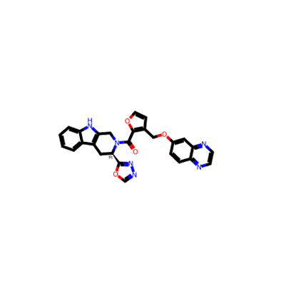 O=C(c1occc1COc1ccc2nccnc2c1)N1Cc2[nH]c3ccccc3c2C[C@@H]1c1nnco1